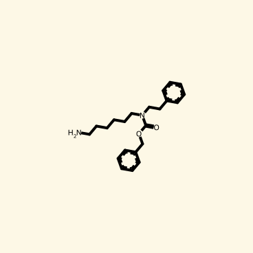 NCCCCCCN(CCc1ccccc1)C(=O)OCc1ccccc1